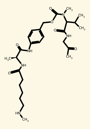 CNCCCCCC(=O)N[C@@H](C)C(=O)Nc1ccc(COC(=O)N(C)C(C(=O)NCC(C)=O)C(C)C)cc1